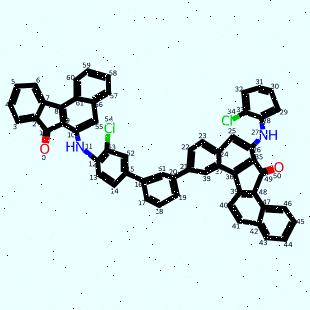 O=C1c2ccccc2-c2c1c(Nc1ccc(-c3cccc(-c4ccc5cc(Nc6ccccc6Cl)c6c(c5c4)-c4ccc5ccccc5c4C6=O)c3)cc1Cl)cc1ccccc21